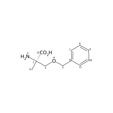 C[C@@](N)(COCc1ccccc1)C(=O)O